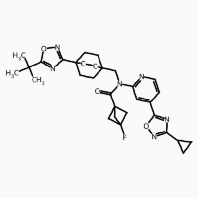 CC(C)(C)c1nc(C23CCC(CN(C(=O)C45CC(F)(C4)C5)c4cc(-c5nc(C6CC6)no5)ccn4)(CC2)CC3)no1